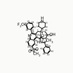 C[C@H](NC(=O)c1c(C[N+]2(C3CCNCC3)CCC[C@H](O)C2)c(-c2cccc(C(F)(F)F)c2)nc2ccc(S(C)(=O)=O)cc12)c1ccccc1